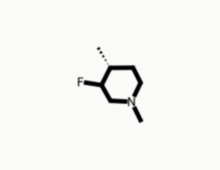 C[C@@H]1CCN(C)CC1F